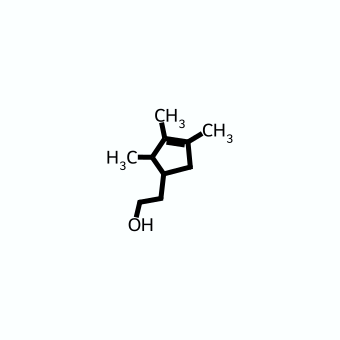 CC1=C(C)C(C)C(CCO)C1